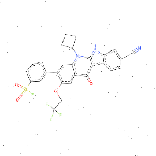 N#Cc1ccc2c(c1)[nH]c1c2c(=O)c2cc(OCC(F)(F)F)c(-c3cccc(S(=O)(=O)F)c3)cc2n1C1CCC1